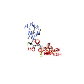 Nc1ncnc2c1ncn2[C@@H]1O[C@H](CO[P@](O)(=S)OP(=O)(O)OP(=O)(O)O)[C@H](O)C1F